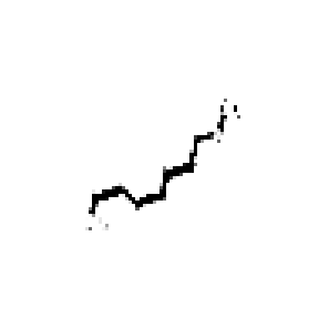 C\C=C/C=C\C=C\COC